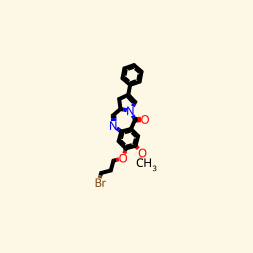 COc1cc2c(cc1OCCCBr)N=CC1CC(c3ccccc3)=CN1C2=O